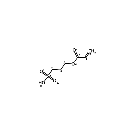 C=CC(=O)O[CH]CCS(=O)(=O)O